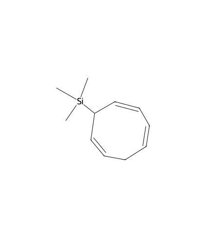 C[Si](C)(C)C1C=CC=CCC=C1